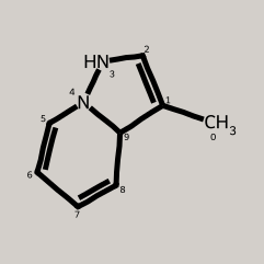 CC1=CNN2C=CC=CC12